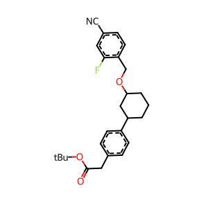 CC(C)(C)OC(=O)Cc1ccc(C2CCCC(OCc3ccc(C#N)cc3F)C2)cc1